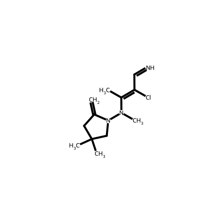 C=C1CC(C)(C)CN1N(C)/C(C)=C(\Cl)C=N